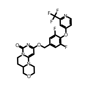 O=c1nc(OCc2cc(F)c(Oc3ccnc(C(F)(F)F)c3)c(F)c2)cc2n1CCC1COCCN21